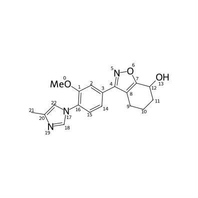 COc1cc(-c2noc3c2CCCC3O)ccc1-n1cnc(C)c1